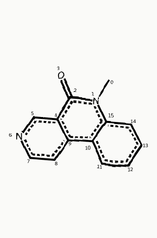 Cn1c(=O)c2cnccc2c2ccccc21